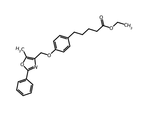 CCOC(=O)CCCCc1ccc(OCc2nc(-c3ccccc3)oc2C)cc1